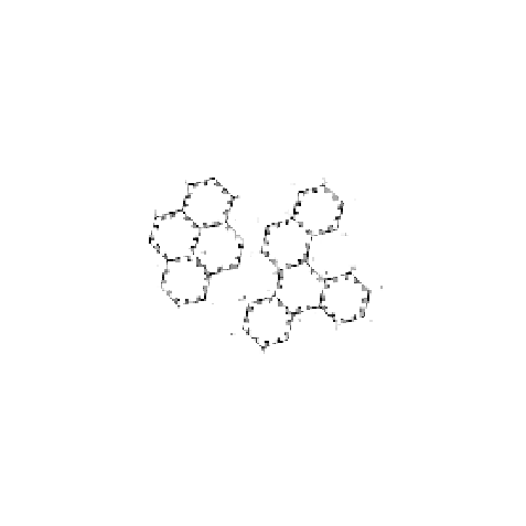 c1cc2ccc3cccc4ccc(c1)c2c34.c1ccc2c(c1)ccc1c3ccccc3c3ccccc3c21